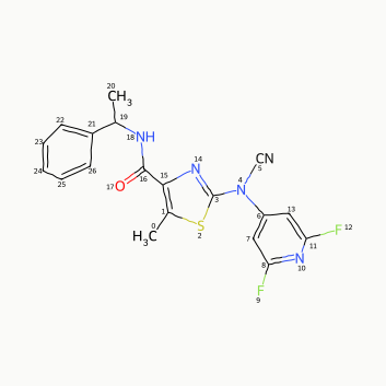 Cc1sc(N(C#N)c2cc(F)nc(F)c2)nc1C(=O)NC(C)c1ccccc1